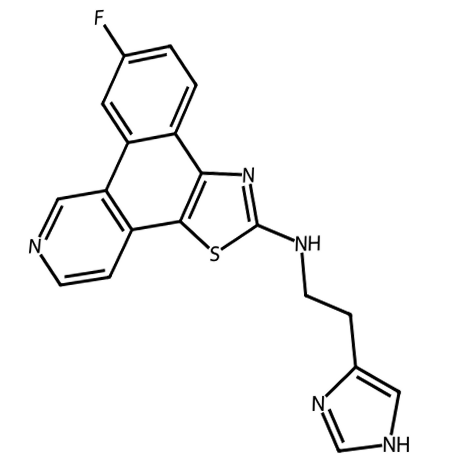 Fc1ccc2c(c1)c1cnccc1c1sc(NCCc3c[nH]cn3)nc21